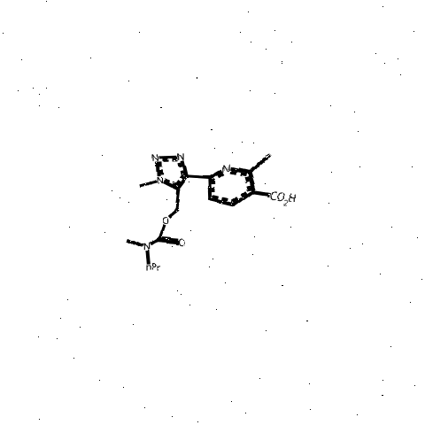 CCCN(C)C(=O)OCc1c(-c2ccc(C(=O)O)c(C)n2)nnn1C